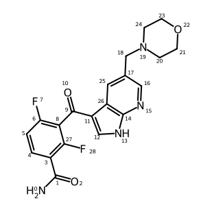 NC(=O)c1ccc(F)c(C(=O)c2c[nH]c3ncc(CN4CCOCC4)cc23)c1F